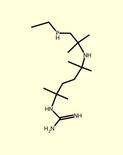 CCPCC(C)(C)NC(C)(C)CCC(C)(C)NC(=N)N